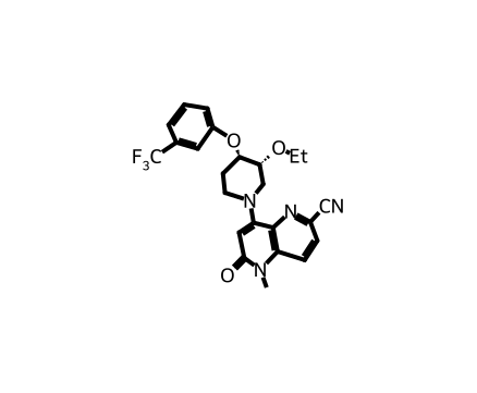 CCO[C@@H]1CN(c2cc(=O)n(C)c3ccc(C#N)nc23)CC[C@@H]1Oc1cccc(C(F)(F)F)c1